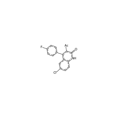 CC(=O)c1c(-c2ccc(F)cc2)c2cc(Cl)ccc2[nH]c1=O